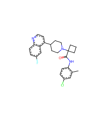 Cc1cc(Cl)ccc1NC(=O)C1(N2CCC(c3ccnc4ccc(F)cc34)CC2)CCC1